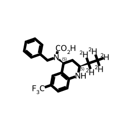 [2H]C([2H])([2H])C([2H])([2H])[C@@H]1C[C@H](N(Cc2ccccc2)C(=O)O)c2cc(C(F)(F)F)ccc2N1